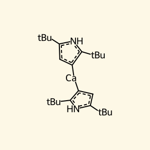 CC(C)(C)c1c[c]([Ca][c]2cc(C(C)(C)C)[nH]c2C(C)(C)C)c(C(C)(C)C)[nH]1